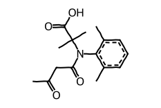 CC(=O)CC(=O)N(c1c(C)cccc1C)C(C)(C)C(=O)O